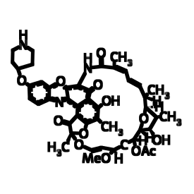 CO[C@H]1/C=C/O[C@@]2(C)Oc3c(C)c(O)c4c(=O)c(c5oc6cc(OC7CCNCC7)ccc6nc-5c4c3C2=O)NC(=O)/C(C)=C\C=C\[C@H](C)[C@@H]2O[C@H]([C@H](O)[C@@H]2C)[C@H](OC(C)=O)C1